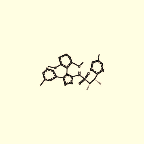 COc1cccc(OC)c1-n1c(NS(=O)(=O)[C@@H](C)[C@@H](C)c2ncc(C)cn2)nnc1-c1cncc(C)c1